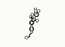 O=C1CCC(N2C(=O)c3ccc(N4CCN(CCCCl)CC4)cc3C2=O)C(=O)N1